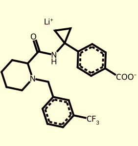 O=C([O-])c1ccc(C2(NC(=O)C3CCCCN3Cc3cccc(C(F)(F)F)c3)CC2)cc1.[Li+]